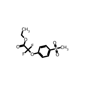 CCOC(=O)C(F)(F)Oc1ccc(S(C)(=O)=O)cc1